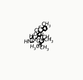 Cc1cccc(-c2nc(N3CC(N(C)C)CC3(C)C)c3c(c2Cl)OC[C@H]2CNCCN2C3=O)c1F